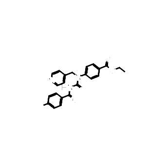 CCOC(=O)c1ccc(N(Cc2ccncc2)C(=S)NC(=O)c2ccc(F)cc2)cc1